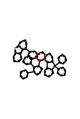 c1ccc(-c2ccccc2-c2c(-c3ccccc3)cccc2N(c2ccc(-c3cccc4sc5ccccc5c34)cc2)c2cccc3c2-c2ccccc2C3(c2ccccc2)c2ccccc2)cc1